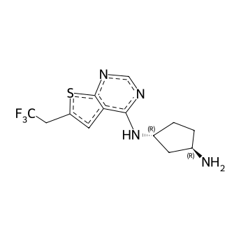 N[C@@H]1CC[C@@H](Nc2ncnc3sc(CC(F)(F)F)cc23)C1